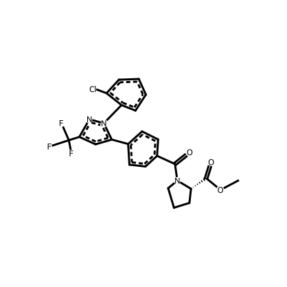 COC(=O)[C@@H]1CCCN1C(=O)c1ccc(-c2cc(C(F)(F)F)nn2-c2ccccc2Cl)cc1